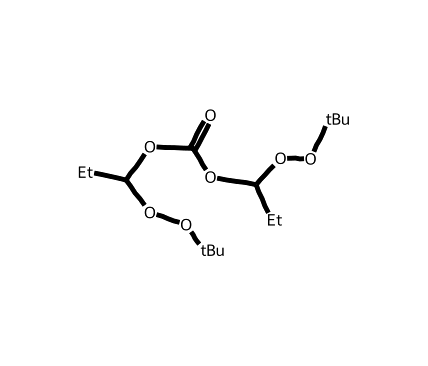 CCC(OOC(C)(C)C)OC(=O)OC(CC)OOC(C)(C)C